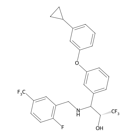 O[C@H](C(NCc1cc(C(F)(F)F)ccc1F)c1cccc(Oc2cccc(C3CC3)c2)c1)C(F)(F)F